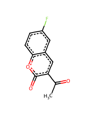 CC(=O)c1cc2cc(F)ccc2oc1=O